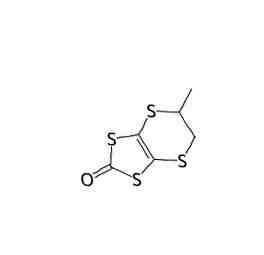 CC1CSc2sc(=O)sc2S1